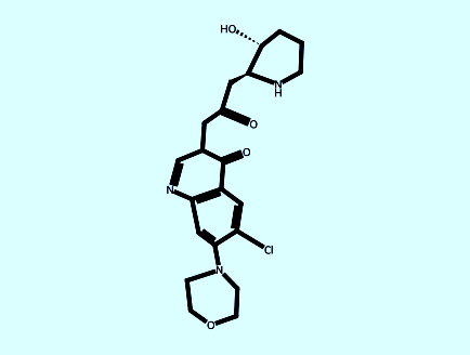 O=C(CC1C=Nc2cc(N3CCOCC3)c(Cl)cc2C1=O)C[C@@H]1NCCC[C@H]1O